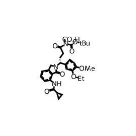 CCOc1cc([C@@H](CCC(=O)N(C(=O)O)C(=O)OC(C)(C)C)N2Cc3cccc(NC(=O)C4CC4)c3C2=O)ccc1OC